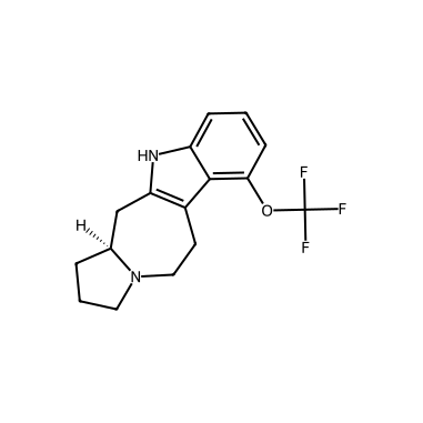 FC(F)(F)Oc1cccc2[nH]c3c(c12)CCN1CCC[C@H]1C3